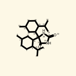 CC1CCC(C(C)C)C(C2(C3CC(C)CCC3C(C)C)NC(=O)NC2=O)C1